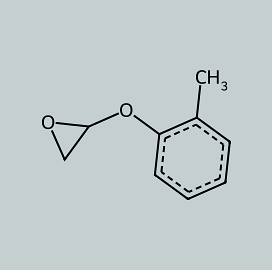 Cc1ccccc1OC1CO1